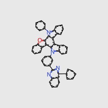 c1ccc(-c2nc(-c3cccc(-n4c5ccccc5c5c6c7ccccc7n(-c7ccccc7)c6c6oc7ccccc7c6c54)c3)nc3ccccc23)cc1